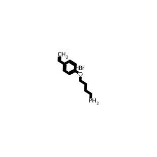 Br.C=Cc1ccc(OCCCCP)cc1